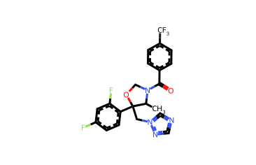 CC1N(C(=O)c2ccc(C(F)(F)F)cc2)COC1(Cn1cncn1)c1ccc(F)cc1F